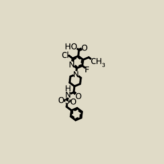 CCc1c(F)c(N2CCC(C(=O)NS(=O)(=O)Cc3ccccc3)CC2)nc(Cl)c1C(=O)O